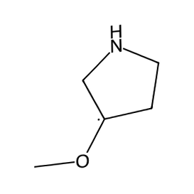 CO[C]1CCNC1